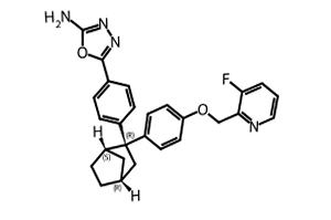 Nc1nnc(-c2ccc([C@@]3(c4ccc(OCc5ncccc5F)cc4)C[C@@H]4CC[C@H]3C4)cc2)o1